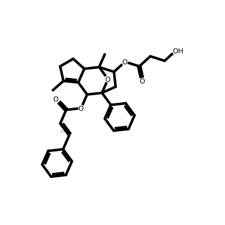 CC1=C2C(OC(=O)/C=C/c3ccccc3)C3(c4ccccc4)CC(OC(=O)CCO)C(C)(O3)C2CC1